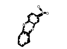 O=S(=O)=c1ccc2nc3ccccc3sc-2c1